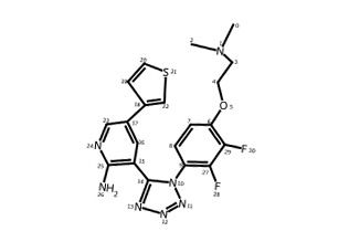 CN(C)CCOc1ccc(-n2nnnc2-c2cc(-c3ccsc3)cnc2N)c(F)c1F